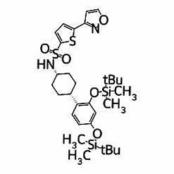 CC(C)(C)[Si](C)(C)Oc1ccc([C@H]2CC[C@@H](NS(=O)(=O)c3ccc(-c4ccon4)s3)CC2)c(O[Si](C)(C)C(C)(C)C)c1